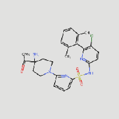 COC(=O)C1(N)CCN(c2cccc(S(=O)(=O)Nc3ccc(Cl)c(-c4c(C)cccc4C)n3)n2)CC1